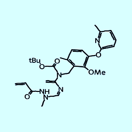 C=CC(=O)NN(C)/C=N\C(=C)N(Cc1c(C)ccc(Oc2cccc(C)n2)c1OC)C(=O)OC(C)(C)C